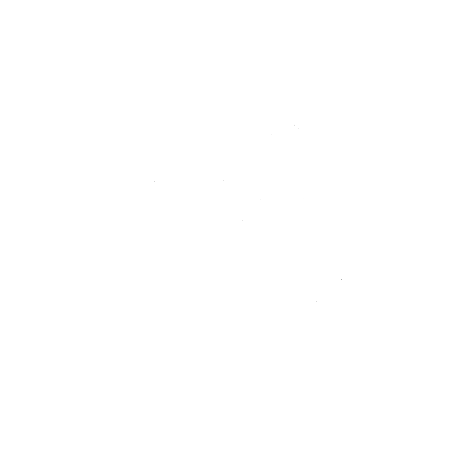 CC(C)(C)CN(Cc1cn(S(=O)(=O)c2cnn(C(F)F)c2)c(-c2cccnc2F)c1F)C(=O)O